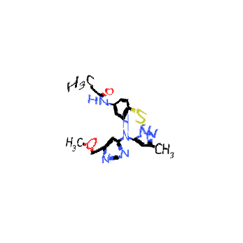 CCC(=O)Nc1ccc(Sn2nc(C)cc2Nc2cc(COC)ncn2)cc1